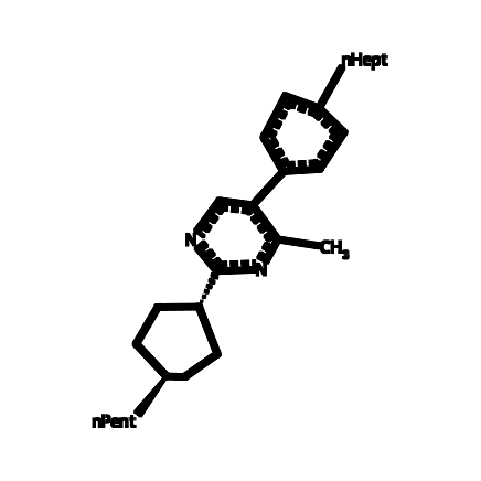 CCCCCCCc1ccc(-c2cnc([C@H]3CC[C@H](CCCCC)CC3)nc2C)cc1